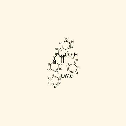 CC1CCCCC1.COc1ccccc1C1=CCN(C[C@@H](Cc2ccccc2)NC(=O)O)CC1